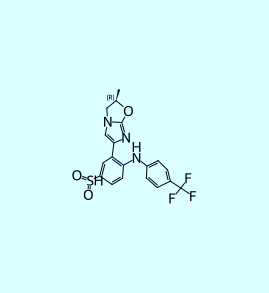 C[C@@H]1Cn2cc(-c3cc([SH](=O)=O)ccc3Nc3ccc(C(F)(F)F)cc3)nc2O1